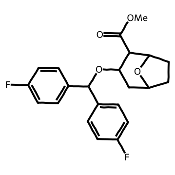 COC(=O)C1C2CCC(CC1OC(c1ccc(F)cc1)c1ccc(F)cc1)O2